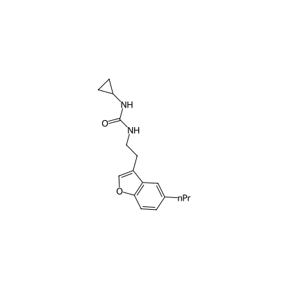 CCCc1ccc2occ(CCNC(=O)NC3CC3)c2c1